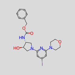 O=C(N[C@@H]1CN(c2cc(I)cc(N3CCOCC3)n2)C[C@H]1O)OCc1ccccc1